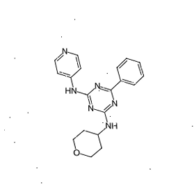 c1ccc(-c2nc(Nc3ccncc3)nc(NC3CCOCC3)n2)cc1